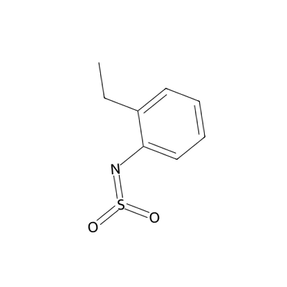 CCc1ccccc1N=S(=O)=O